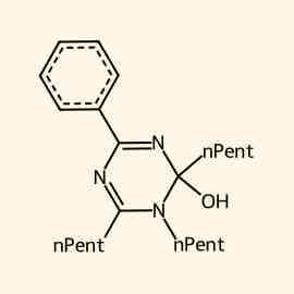 CCCCCC1=NC(c2ccccc2)=NC(O)(CCCCC)N1CCCCC